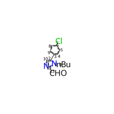 CCCCn1c(-c2ccc(Cl)cc2)cnc1C=O